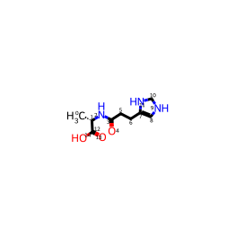 C[C@H](NC(=O)CCC1=CNCN1)C(=O)O